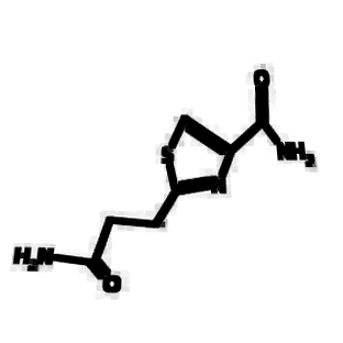 NC(=O)C[CH]c1nc(C(N)=O)cs1